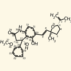 C=C(C)[C@@H]1CC[C@](C)(/C=C/c2ccc3c(c2O)[C@@](O)(c2ccccc2)[C@H](OC)C(=O)N3)O1